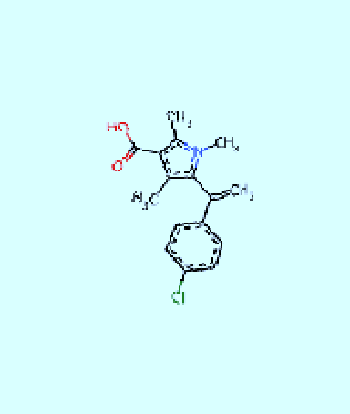 C=C(c1ccc(Cl)cc1)c1c(C)c(C(=O)O)c(C)n1C